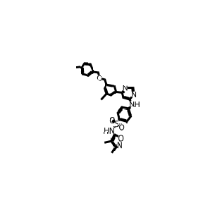 Cc1ccc(COCc2cc(C)cc(-c3cc(Nc4ccc(S(=O)(=O)Nc5onc(C)c5C)cc4)ncn3)c2)cc1